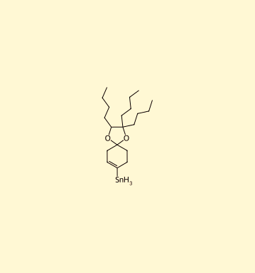 CCCCC1OC2(CC=[C]([SnH3])CC2)OC1(CCCC)CCCC